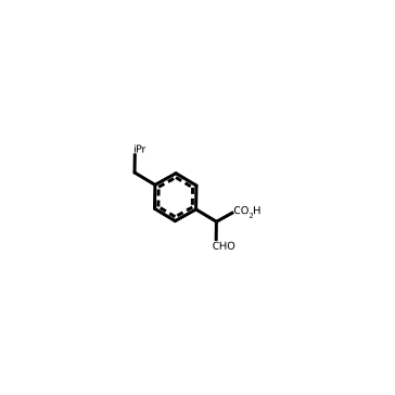 CC(C)Cc1ccc(C(C=O)C(=O)O)cc1